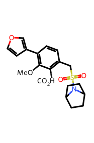 COc1c(-c2ccoc2)ccc(CS(=O)(=O)N2C3CCC2CC3)c1C(=O)O